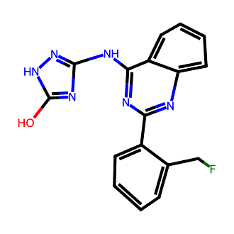 Oc1nc(Nc2nc(-c3ccccc3CF)nc3ccccc23)n[nH]1